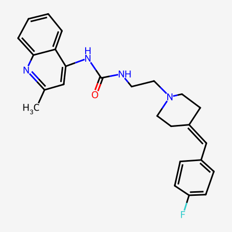 Cc1cc(NC(=O)NCCN2CCC(=Cc3ccc(F)cc3)CC2)c2ccccc2n1